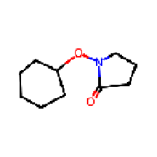 O=C1CCCN1OC1CCCCC1